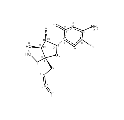 [N-]=[N+]=NC[C@]1(CO)O[C@@H](n2cc(F)c(N)nc2=O)[C@H](F)[C@@H]1O